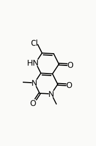 Cn1c(=O)c2c(=O)cc(Cl)[nH]c2n(C)c1=O